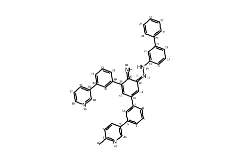 Cc1ccc(-c2cccc(C3=C/C(=N/Nc4cccc(-c5ccccc5)c4)C(=N)C(c4cccc(-c5cccnc5)c4)=C3)c2)cn1